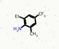 CCc1cc(C(F)(F)F)cc(C)c1N